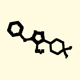 O=C(O)c1c(C2CCC(F)(F)CC2)nnn1Oc1ccccc1